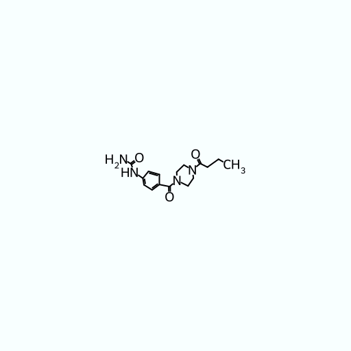 CCCC(=O)N1CCN(C(=O)c2ccc(NC(N)=O)cc2)CC1